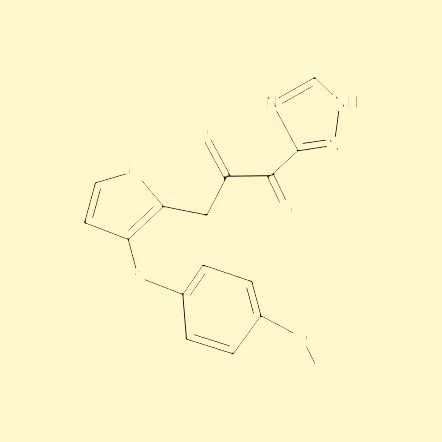 COc1ccc(Sc2ccoc2CC(=O)C(=O)c2nc[nH]n2)cc1